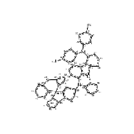 Fc1ccc(N(c2ccc(F)cc2)c2cccc3oc4c(N(c5ccccc5)c5ccc6c(c5)C5(c7ccccc7Sc7ccccc75)c5ccccc5-6)cccc4c23)cc1